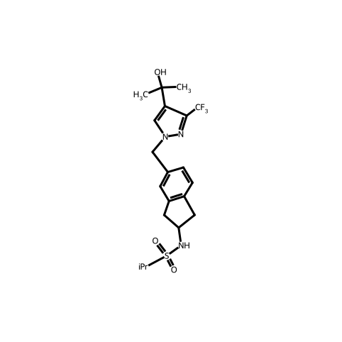 CC(C)S(=O)(=O)NC1Cc2ccc(Cn3cc(C(C)(C)O)c(C(F)(F)F)n3)cc2C1